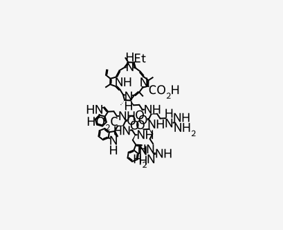 C=Cc1c(C)/c2[nH]/c1=C\c1[nH]c(c(CC)c1C)/C=C1N=C(C(C(=O)O)=C\1C)/C(C)=C1\NC(/C=2)[C@@H](C)[C@@H]1CCC(=O)N[C@@H](CCCNC(=N)N)C(=O)N[C@@H](CCCNC(=N)N)C(=O)N[C@@H](Cc1c[nH]c2ccccc12)C(=O)N[C@@H](Cc1c[nH]c2ccccc12)C(=O)N[C@@H](Cc1c[nH]c2ccccc12)C(=O)O